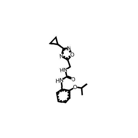 CC(C)Oc1ccccc1NC(=O)NCc1nc(C2CC2)no1